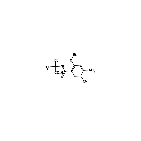 CCOc1cc(N)c(C#N)cc1C(=O)N[C@](C)(CC)C(=O)O